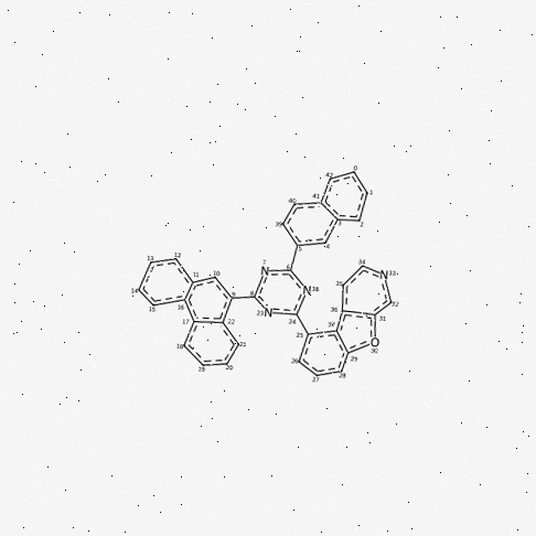 c1ccc2cc(-c3nc(-c4cc5ccccc5c5ccccc45)nc(-c4cccc5oc6cnccc6c45)n3)ccc2c1